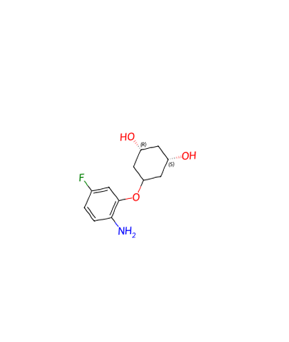 Nc1ccc(F)cc1OC1C[C@@H](O)C[C@@H](O)C1